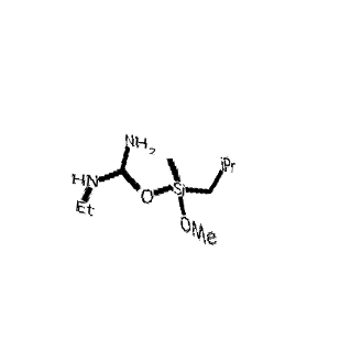 CCNC(N)O[Si](C)(CC(C)C)OC